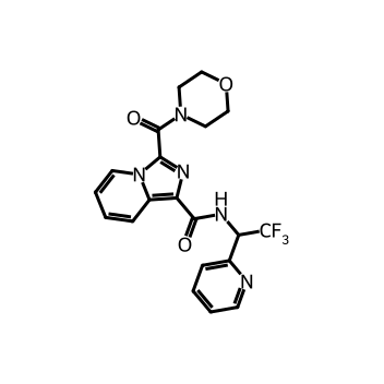 O=C(NC(c1ccccn1)C(F)(F)F)c1nc(C(=O)N2CCOCC2)n2ccccc12